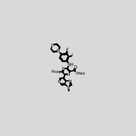 CNc1nc(Nc2ccc(N3CCOCC3)c(F)c2F)c(C(=O)OC)nc1-c1cncc2c1ncn2C